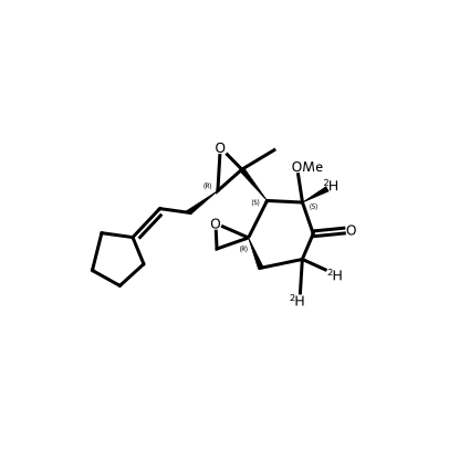 [2H]C1([2H])C[C@]2(CO2)[C@@H](C2(C)O[C@@H]2CC=C2CCCC2)[C@]([2H])(OC)C1=O